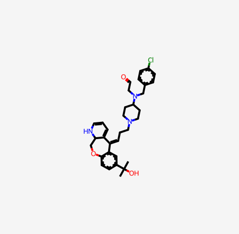 CC(C)(O)c1ccc2c(c1)/C(=C/CCN1CCC(N(CC=O)Cc3ccc(Cl)cc3)CC1)C1=CC=CNC1CO2